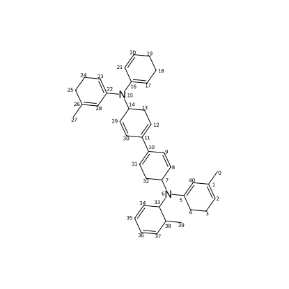 CC1=CCCC(N(C2C=CC(C3=CCC(N(C4=CCCC=C4)C4=CCCC(C)=C4)C=C3)=CC2)C2C=CC=CC2C)=C1